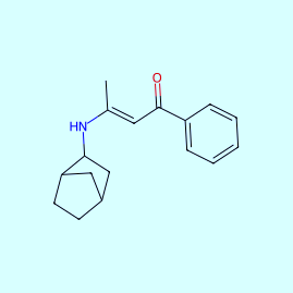 CC(=CC(=O)c1ccccc1)NC1CC2CCC1C2